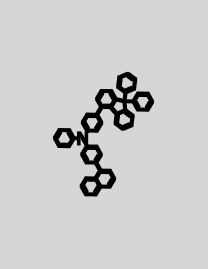 c1ccc(N(c2ccc(-c3cccc4c3-c3ccccc3C4(c3ccccc3)c3ccccc3)cc2)c2ccc(-c3cccc4ccccc34)cc2)cc1